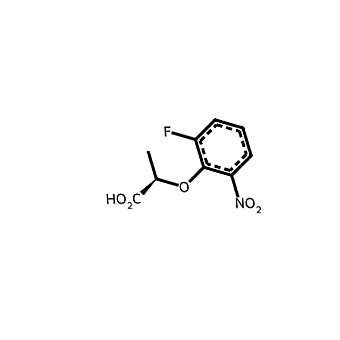 C[C@@H](Oc1c(F)cccc1[N+](=O)[O-])C(=O)O